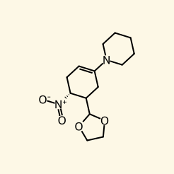 O=[N+]([O-])[C@@H]1CC=C(N2CCCCC2)CC1C1OCCO1